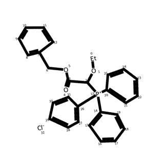 CCOC(C(=O)OCc1ccccc1)[P+](c1ccccc1)(c1ccccc1)c1ccccc1.[Cl-]